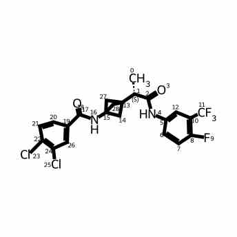 C[C@H](C(=O)Nc1ccc(F)c(C(F)(F)F)c1)C12CC(NC(=O)c3ccc(Cl)c(Cl)c3)(C1)C2